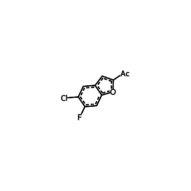 CC(=O)c1cc2cc(Cl)c(F)cc2o1